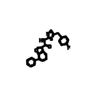 O=C(Nc1ncc(Cc2ccc(F)cc2)s1)c1coc2c(-c3ccccc3)cccc12